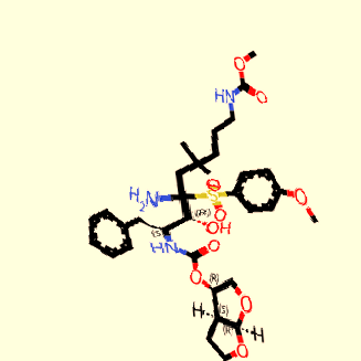 COC(=O)NCCCC(C)(C)CC(N)([C@H](O)[C@H](Cc1ccccc1)NC(=O)O[C@H]1CO[C@H]2OCC[C@H]21)S(=O)(=O)c1ccc(OC)cc1